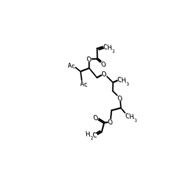 C=CC(=O)OCC(C)OCC(C)OCC(OC(=O)C=C)C(C(C)=O)C(C)=O